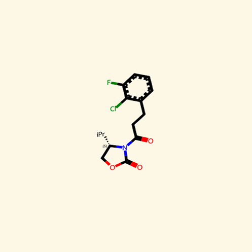 CC(C)[C@H]1COC(=O)N1C(=O)CCc1cccc(F)c1Cl